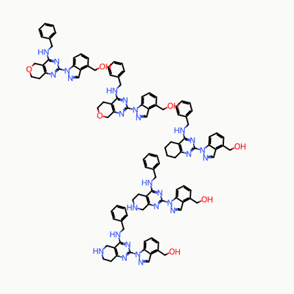 OCc1cccc2c1cnn2-c1nc2c(c(NCc3ccccc3)n1)CCCC2.OCc1cccc2c1cnn2-c1nc2c(c(NCc3ccccc3)n1)CCNC2.OCc1cccc2c1cnn2-c1nc2c(c(NCc3ccccc3)n1)CCOC2.OCc1cccc2c1cnn2-c1nc2c(c(NCc3ccccc3)n1)CNCC2.OCc1cccc2c1cnn2-c1nc2c(c(NCc3ccccc3)n1)COCC2